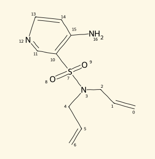 C=CCN(CC=C)S(=O)(=O)c1cnccc1N